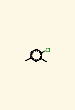 Cc1[c]cc(Cl)c(C)c1